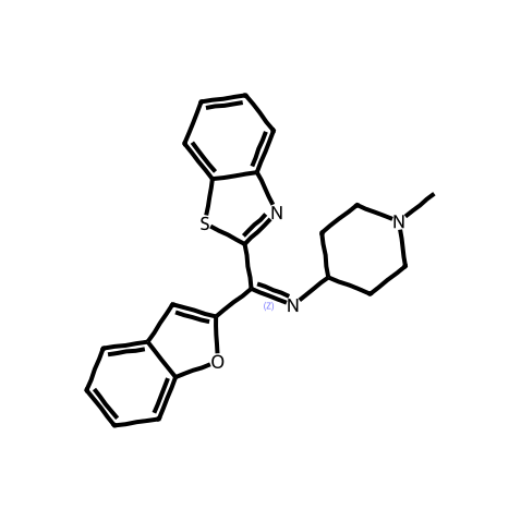 CN1CCC(/N=C(/c2cc3ccccc3o2)c2nc3ccccc3s2)CC1